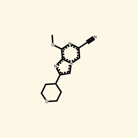 COc1nc(C#N)cn2cc(C3CCOCC3)nc12